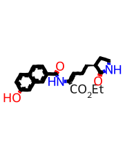 CCOC(=O)C(=CCC[C@H]1CCNC1=O)NC(=O)c1ccc2ccc(O)cc2c1